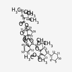 COC(C)c1cc(C2CCCCC2)cc(C(C)OC)c1OCC(OC(=O)C12CC3CC1C(OC2=O)C3OC(=O)C(CC(C)C)C(C)C)c1ccccc1